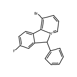 Fc1ccc2c(c1)C(c1ccccc1)[n+]1cccc(Br)c1-2